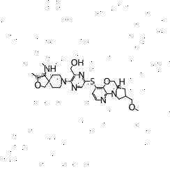 CN[C@@H]1[C@H](C)OCC12CCN(c1ncc(Sc3ccnc4c3OC[C@@H]3CC(COC)CN43)nc1CO)CC2